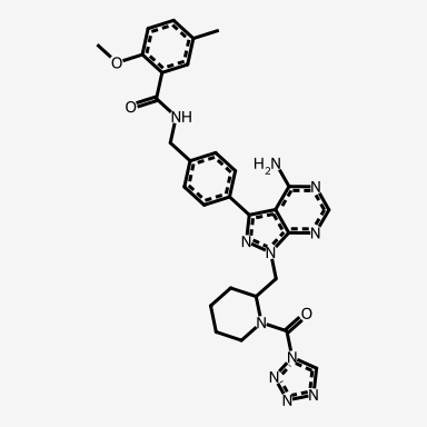 COc1ccc(C)cc1C(=O)NCc1ccc(-c2nn(CC3CCCCN3C(=O)n3cnnn3)c3ncnc(N)c23)cc1